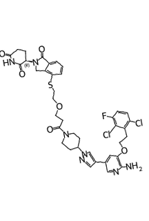 Nc1ncc(-c2cnn(C3CCN(C(=O)CCOCCSc4cccc5c4CN([C@@H]4CCC(=O)NC4=O)C5=O)CC3)c2)cc1OCCc1c(Cl)ccc(F)c1Cl